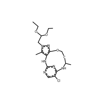 CCOC(Cn1nc2c(c1C)Nc1ncc(Cl)c(n1)NC(C)CCO2)OCC